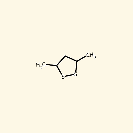 CC1[CH]C(C)SS1